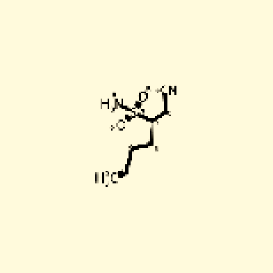 C=CCC[C@H](CC#N)S(N)(=O)=O